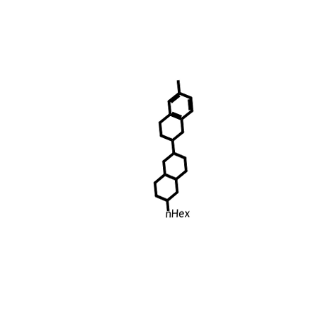 CCCCCCC1CCC2CC(C3CCc4cc(C)ccc4C3)CCC2C1